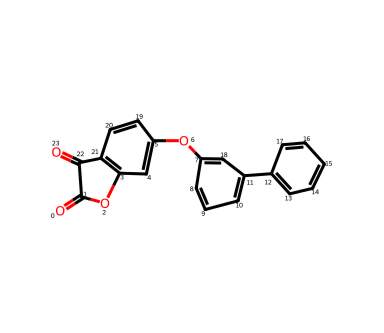 O=C1Oc2cc(Oc3cccc(-c4ccccc4)c3)ccc2C1=O